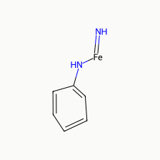 [NH]=[Fe][NH]c1ccccc1